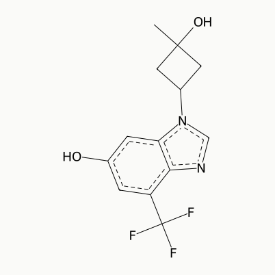 CC1(O)CC(n2cnc3c(C(F)(F)F)cc(O)cc32)C1